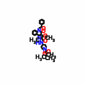 COc1c(C(=O)NC2CCN(C(=O)OC(C)(C)C)CC2)n(C)c2c1c(=O)n(CC(=O)c1ccccc1)c1ccccc21